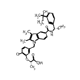 Cc1c(C)n(Cc2ccc(Cl)c(O[C@@H](C)C(=O)O)c2)c2ccc(C(=O)N[C@@H](C)c3cccc(C(C)(C)C)c3)cc12